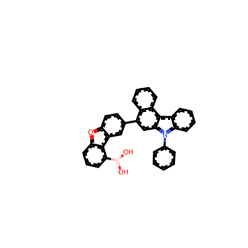 OB(O)c1cccc2oc3ccc(-c4cc5c(c6ccccc46)c4ccccc4n5-c4ccccc4)cc3c12